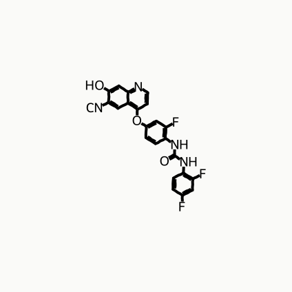 [C-]#[N+]c1cc2c(Oc3ccc(NC(=O)Nc4ccc(F)cc4F)c(F)c3)ccnc2cc1O